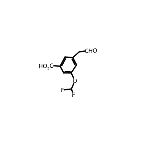 O=CCc1cc(OC(F)F)cc(C(=O)O)c1